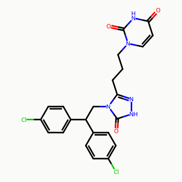 O=c1ccn(CCCc2n[nH]c(=O)n2CC(c2ccc(Cl)cc2)c2ccc(Cl)cc2)c(=O)[nH]1